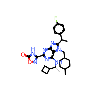 CC1CCC(Cn2c(C(C)c3ccc(F)cc3)nc3nc(-c4noc(=O)[nH]4)nc(N[C@H](C)C4CCC4)c32)CC1